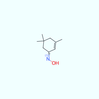 CC1=C/C(=N\O)CC(C)(C)C1